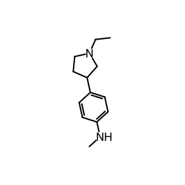 CCN1CCC(c2ccc(NC)cc2)C1